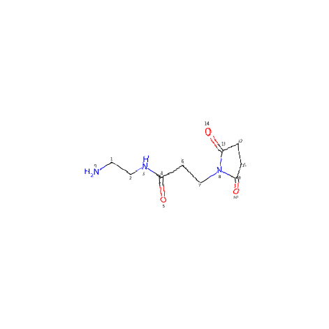 NCCNC(=O)CCN1C(=O)CCC1=O